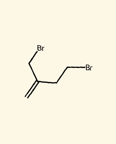 C=C(CBr)CCBr